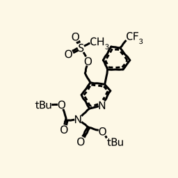 CC(C)(C)OC(=O)N(C(=O)OC(C)(C)C)c1cc(COS(C)(=O)=O)c(-c2ccc(C(F)(F)F)cc2)cn1